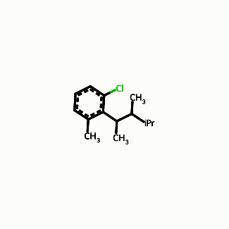 Cc1cccc(Cl)c1C(C)C(C)C(C)C